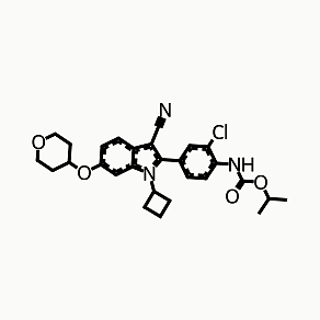 CC(C)OC(=O)Nc1ccc(-c2c(C#N)c3ccc(OC4CCOCC4)cc3n2C2CCC2)cc1Cl